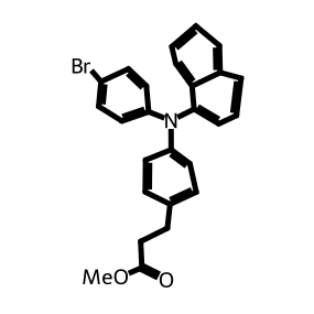 COC(=O)CCc1ccc(N(c2ccc(Br)cc2)c2cccc3ccccc23)cc1